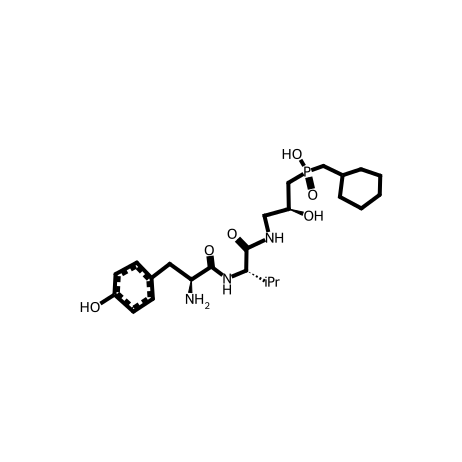 CC(C)[C@H](NC(=O)[C@@H](N)Cc1ccc(O)cc1)C(=O)NC[C@H](O)CP(=O)(O)CC1CCCCC1